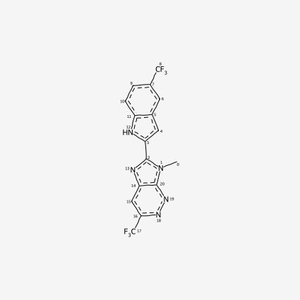 Cn1c(-c2cc3cc(C(F)(F)F)ccc3[nH]2)nc2cc(C(F)(F)F)nnc21